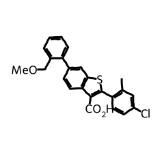 COCc1ccccc1-c1ccc2c(C(=O)O)c(-c3ccc(Cl)cc3C)sc2c1